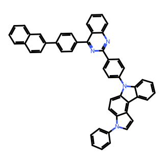 c1ccc(-n2ccc3c4c5ccccc5n(-c5ccc(-c6nc(-c7ccc(-c8ccc9ccccc9c8)cc7)c7ccccc7n6)cc5)c4ccc32)cc1